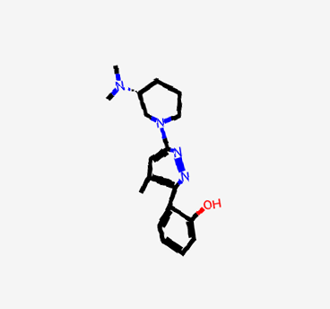 Cc1cc(N2CCC[C@@H](N(C)C)C2)nnc1-c1ccccc1O